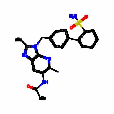 CCCCC(=O)Nc1cc2nc(CCCC)n(Cc3ccc(-c4ccccc4S(N)(=O)=O)cc3)c2nc1C